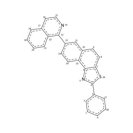 c1ccc(-c2nc3c(ccc4cc(-c5nccc6ccccc56)ccc43)s2)cc1